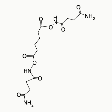 NC(=O)CCC(=O)NOC(=O)CCCCC(=O)ONC(=O)CCC(N)=O